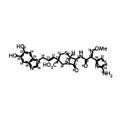 CON=C(C(=O)NC1C(=O)N2CC(C=CCn3cnc4cc(O)c(O)cc43)(C(=O)O)CS[C@H]12)c1csc(N)n1